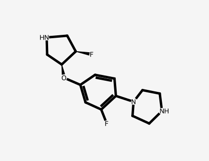 Fc1cc(O[C@H]2CNC[C@H]2F)ccc1N1CCNCC1